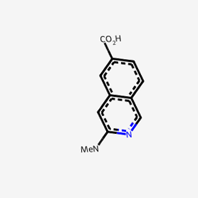 CNc1cc2cc(C(=O)O)ccc2cn1